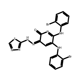 O=C1N=C(Nc2ccccc2Br)C(Nc2ccccc2Br)=CC1=NNc1nncs1